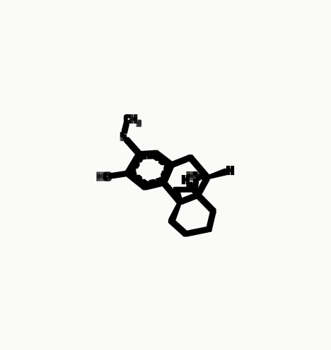 CSc1cc2c(cc1O)[C@@]13CCCC[C@H]1[C@@H](C2)NCC3